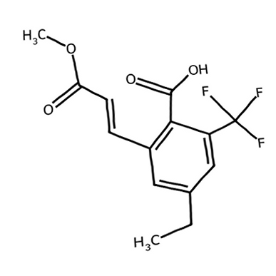 CCc1cc(C=CC(=O)OC)c(C(=O)O)c(C(F)(F)F)c1